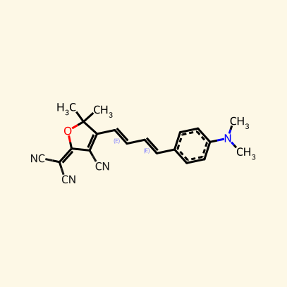 CN(C)c1ccc(/C=C/C=C/C2=C(C#N)C(=C(C#N)C#N)OC2(C)C)cc1